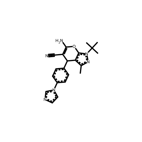 Cc1nn(C(C)(C)C)c2c1C(c1ccc(-n3ccnc3)cc1)C(C#N)=C(N)O2